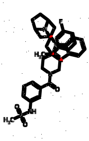 Cc1nc2ccccc2n1C1CC2CCC(C1)N2CCC1(c2cccc(F)c2)CCN(C(=O)c2cccc(NS(C)(=O)=O)c2)CC1